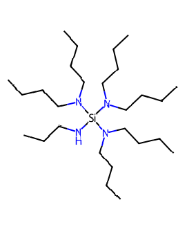 CCCCN(CCCC)[Si](NCCC)(N(CCCC)CCCC)N(CCCC)CCCC